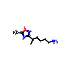 CC(CCCCN)c1noc(C(F)(F)F)n1